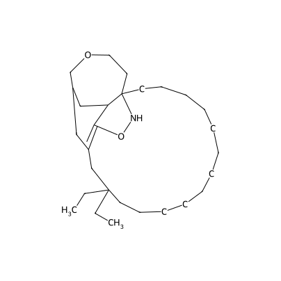 CCC1(CC)CCCCCCCCCCCCC23CCOCC4CC(=C(ON2)C3C4)C1